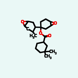 CC1CC2OC2CC1C1(OC(=O)C2CCCC(C)(C)C2)CCC2OC2C1